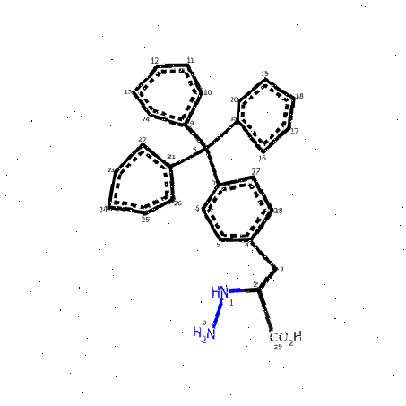 NNC(Cc1ccc(C(c2ccccc2)(c2ccccc2)c2ccccc2)cc1)C(=O)O